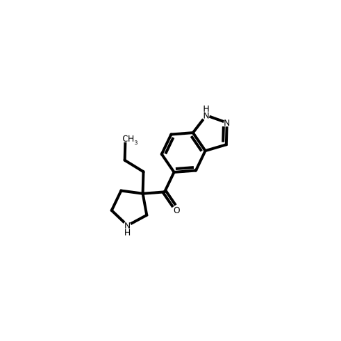 CCCC1(C(=O)c2ccc3[nH]ncc3c2)CCNC1